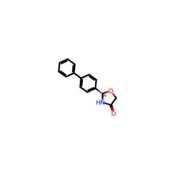 O=C1CO[C@H](c2ccc(-c3ccccc3)cc2)N1